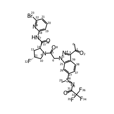 CC(=O)c1nn(CC(=O)N2C[C@H](F)C[C@H]2C(=O)Nc2cccc(Br)n2)c2cc(/S(C)=N/C(=O)C(F)(F)F)ccc12